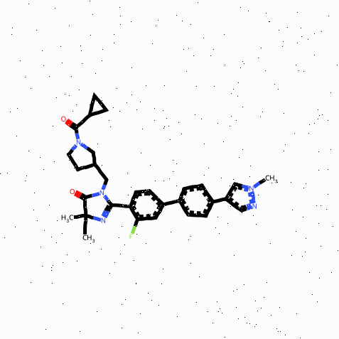 Cn1cc(-c2ccc(-c3ccc(C4=NC(C)(C)C(=O)N4CC4CCN(C(=O)C5CC5)C4)c(F)c3)cc2)cn1